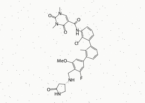 COc1cc(-c2cccc(-c3cccc(NC(=O)c4cn(C)c(=O)n(C)c4=O)c3Cl)c2C)cc(F)c1CN[C@@H]1CNC(=O)C1